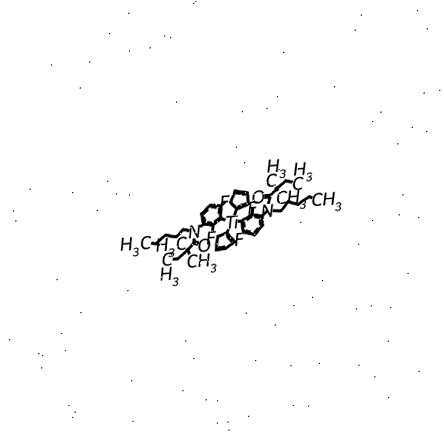 CCCCCN(C(=O)C(C)(C)CC)c1ccc(F)[c]([Ti]([C]2=CC=CC2)([C]2=CC=CC2)[c]2c(F)ccc(N(CCCCC)C(=O)C(C)(C)CC)c2F)c1F